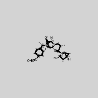 C[C@@H](CN1C[C@@H]2C[C@H]1C(=O)N2[C@@H](C)c1ccc(OC=O)cc1)C(=O)N1C2C[C@H]2C[C@H]1C#N